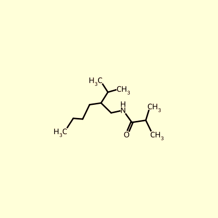 CCCCC(CNC(=O)C(C)C)C(C)C